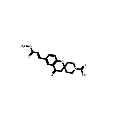 COC(=O)C=Cc1ccc2c(c1)C(=O)CC1(CCN(C(C)=O)CC1)O2